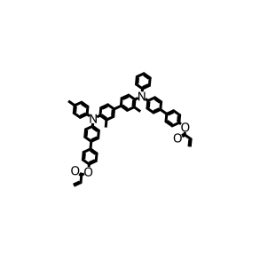 C=CC(=O)Oc1ccc(-c2ccc(N(c3ccccc3)c3ccc(-c4ccc(N(c5ccc(C)cc5)c5ccc(-c6ccc(OC(=O)C=C)cc6)cc5)c(C)c4)cc3C)cc2)cc1